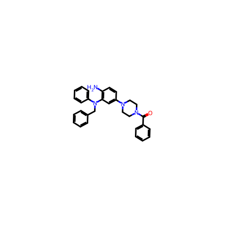 Nc1ccc(N2CCN(C(=O)c3ccccc3)CC2)cc1N(Cc1ccccc1)c1ccccc1